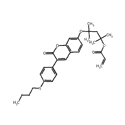 C=CC(=O)OC(C)(C)CC(C)(C)Oc1ccc2cc(-c3ccc(SCCCC)cc3)c(=O)oc2c1